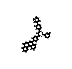 c1ccc(-c2nc(-c3ccc(-c4cccnc4)cc3)cc(-c3ccc(-c4cc5ccc6ccccc6c5c5ccccc45)cc3)n2)cc1